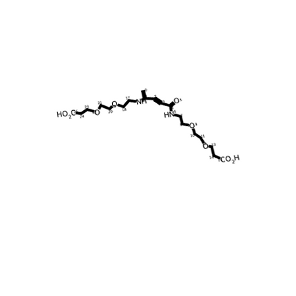 C=C(C#CC(=O)NCCOCCOCCC(=O)O)NCCOCCOCCC(=O)O